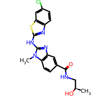 C[C@@H](O)CNC(=O)c1ccc2c(c1)nc(Nc1nc3ccc(Cl)cc3s1)n2C